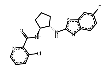 O=C(N[C@H]1CCC[C@@H]1Nc1nc2ccc(F)cc2s1)c1ncccc1Cl